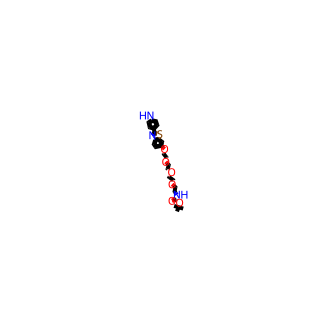 CNc1ccc(-c2nc3ccc(OCCOCCOCCOCCNC(=O)OC(C)(C)C)cc3s2)cc1